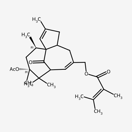 CC(=O)O[C@]1(C)C[C@@H](C)C23C=C(C)CC2CC(COC(=O)C(C)=C(C)C)=CC(C3=O)C1(C)C